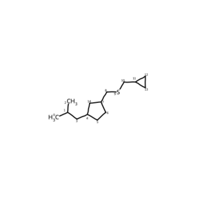 CC(C)CC1CCC(CSCC2CC2)C1